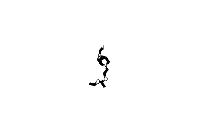 CCOC(C)OCCN1CC2CC1CN2CI